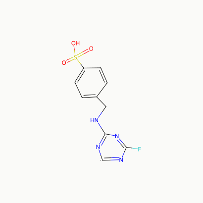 O=S(=O)(O)c1ccc(CNc2n[c]nc(F)n2)cc1